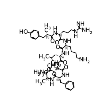 CC(C)C[C@H](NC(=O)[C@H](CC(C)C)NC(=O)[C@H](CCCCN)NC(=O)[C@H](CCCNC(=N)N)NC(=O)[C@@H](C)Cc1ccc(O)cc1)C(=O)N[C@@H](Cc1ccccc1)C(=O)N[C@@H](C)C(N)=O